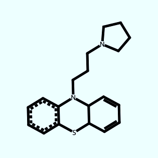 C1=CC2Sc3ccccc3N(CCCN3CCCC3)C2C=C1